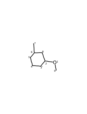 COC1[CH]CCC(C)C1